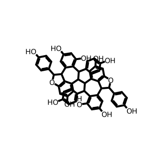 Oc1ccc(C2Oc3cc(O)cc4c3C2c2cc(O)cc(O)c2C(c2ccc(O)cc2)C4C2c3cc(O)cc4c3C(c3cc(O)cc(O)c3C2c2ccc(O)cc2)C(c2ccc(O)cc2)O4)cc1